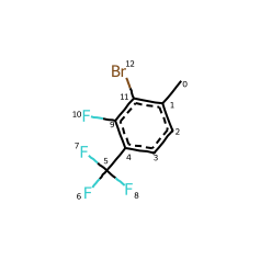 Cc1ccc(C(F)(F)F)c(F)c1Br